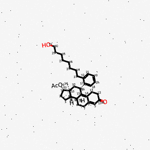 CC(=O)O[C@H]1CC[C@H]2[C@@H]3CCC4=CC(=O)CCC4=C3[C@@H](c3ccccc3CCCCCCCCO)C[C@]12C